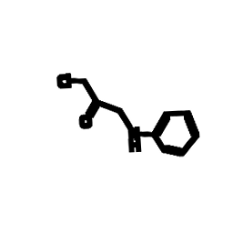 O=C(CCl)CNc1ccccc1